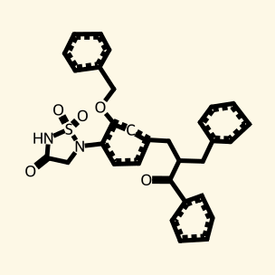 O=C1CN(c2ccc(CC(Cc3ccccc3)C(=O)c3ccccc3)cc2OCc2ccccc2)S(=O)(=O)N1